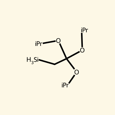 CC(C)OC(C[SiH3])(OC(C)C)OC(C)C